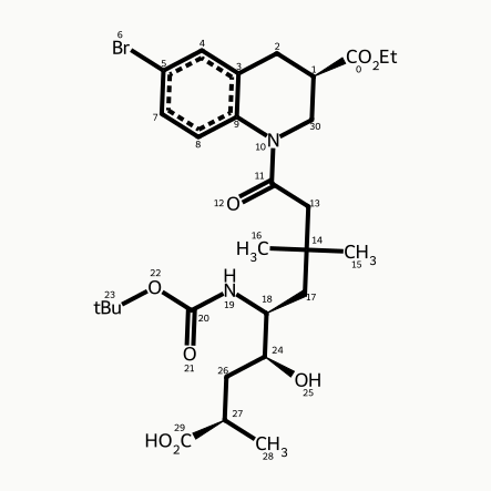 CCOC(=O)[C@@H]1Cc2cc(Br)ccc2N(C(=O)CC(C)(C)C[C@H](NC(=O)OC(C)(C)C)[C@@H](O)C[C@@H](C)C(=O)O)C1